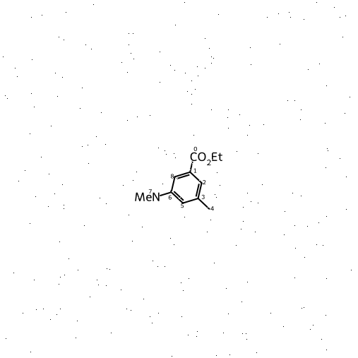 CCOC(=O)c1cc(C)cc(NC)c1